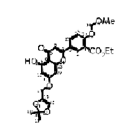 CCOC(=O)c1cc(-c2cc(=O)c3c(O)cc(OCC4=COC(C)(C)O4)cc3o2)ccc1OCOC